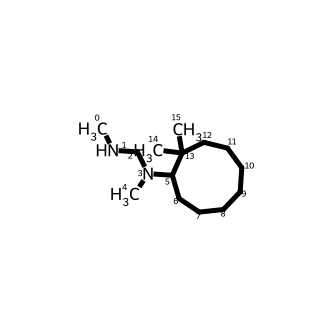 CNCN(C)C1CCCCCCCC1(C)C